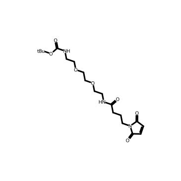 CC(C)(C)OC(=O)NCCOCCOCCNC(=O)CCCN1C(=O)C=CC1=O